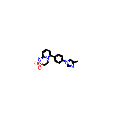 Cc1cn(-c2ccc(C3=CC=CC4=NS(=O)(=O)CCN34)cc2)cn1